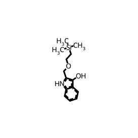 C[Si](C)(C)CCOCc1[nH]c2ccccc2c1O